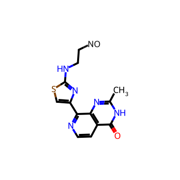 Cc1nc2c(-c3csc(NCCN=O)n3)nccc2c(=O)[nH]1